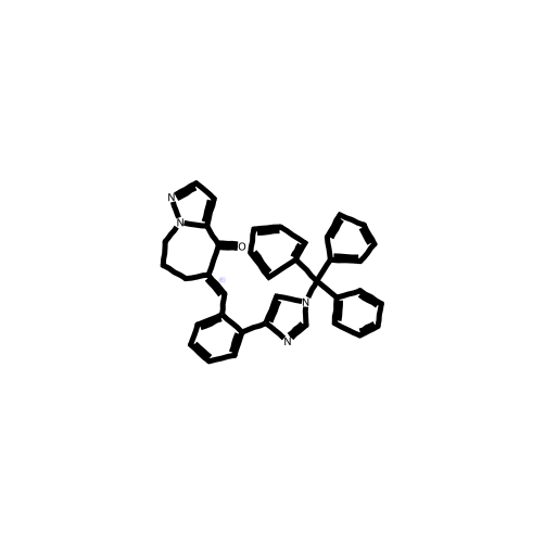 O=C1/C(=C/c2ccccc2-c2cn(C(c3ccccc3)(c3ccccc3)c3ccccc3)cn2)CCCn2nccc21